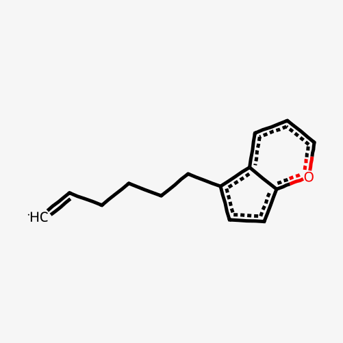 [CH]=CCCCCc1ccc2occcc1-2